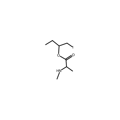 CCC(CI)OC(=O)C(C)NC